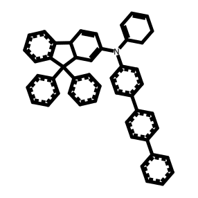 C1=CCCC(N(C2=CC3C(C=C2)c2ccccc2C3(c2ccccc2)c2ccccc2)c2ccc(-c3ccc(-c4ccccc4)cc3)cc2)=C1